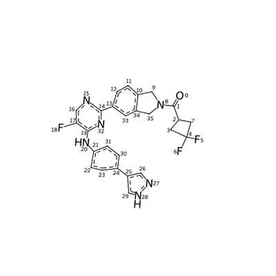 O=C(C1CC(F)(F)C1)N1Cc2ccc(-c3ncc(F)c(Nc4ccc(-c5cn[nH]c5)cc4)n3)cc2C1